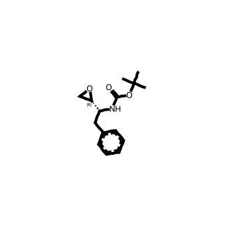 CC(C)(C)OC(=O)NC(Cc1ccccc1)[C@@H]1CO1